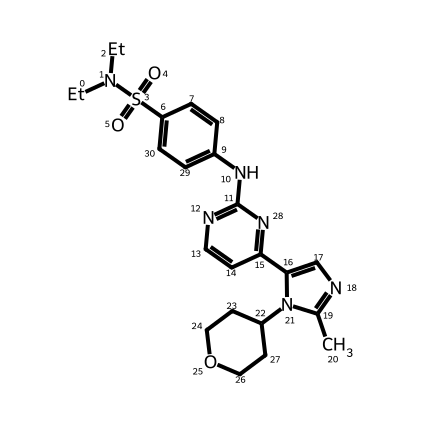 CCN(CC)S(=O)(=O)c1ccc(Nc2nccc(-c3cnc(C)n3C3CCOCC3)n2)cc1